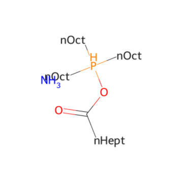 CCCCCCCC[PH](CCCCCCCC)(CCCCCCCC)OC(=O)CCCCCCC.N